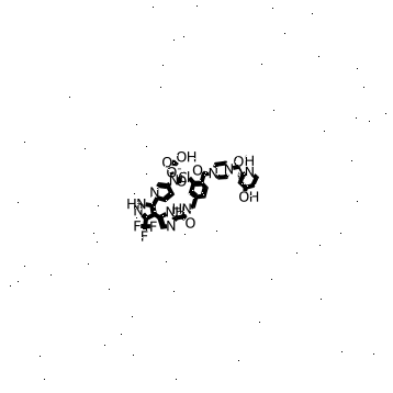 O=C(NCc1ccc(C(=O)N2CCN(C(=O)[C@@H]3CC(O)CCN3)CC2)c(Cl)c1)c1ncc(-c2c(C(F)(F)F)n[nH]c2-c2ccc([N+](=O)[O-])cn2)[nH]1.O=CO